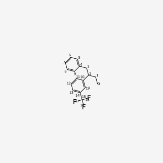 CCC(Cc1ccccc1)c1cccc(C(F)(F)F)c1